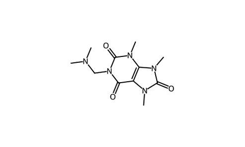 CN(C)Cn1c(=O)c2c(n(C)c1=O)n(C)c(=O)n2C